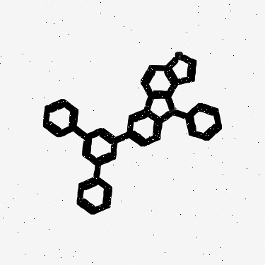 c1ccc(-c2cc(-c3ccccc3)cc(-c3ccc4c(c3)c3ccc5occc5c3n4-c3ccccc3)c2)cc1